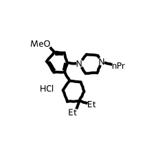 CCCN1CCN(c2cc(OC)ccc2C2CCC(CC)(CC)CC2)CC1.Cl